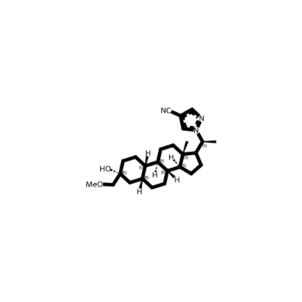 COC[C@@]1(O)CC[C@H]2[C@H](CC[C@@H]3[C@@H]2CC[C@]2(C)C([C@H](C)n4cc(C#N)cn4)CC[C@@H]32)C1